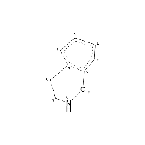 c1ccc2c(c1)CCNO2